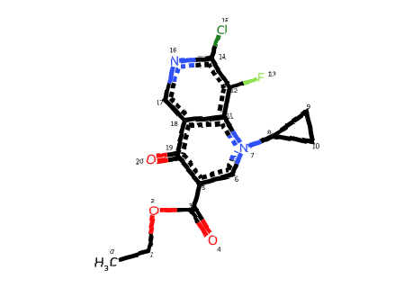 CCOC(=O)c1cn(C2CC2)c2c(F)c(Cl)ncc2c1=O